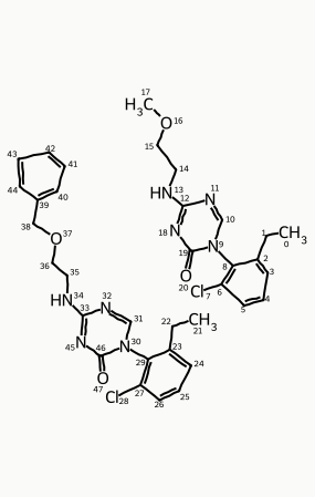 CCc1cccc(Cl)c1-n1cnc(NCCOC)nc1=O.CCc1cccc(Cl)c1-n1cnc(NCCOCc2ccccc2)nc1=O